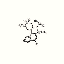 C[C@H](N[S+]([O-])C(C)(C)C)c1cc(Cl)c2cncn2c1N1CCS(=O)(=O)[C@@H](C)C1